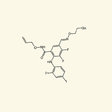 C=CCONC(=O)c1cc(C=NOCCO)c(F)c(F)c1Nc1ccc(I)cc1F